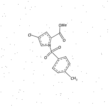 COC(=O)c1cc(Cl)cn1S(=O)(=O)c1ccc(C)cc1